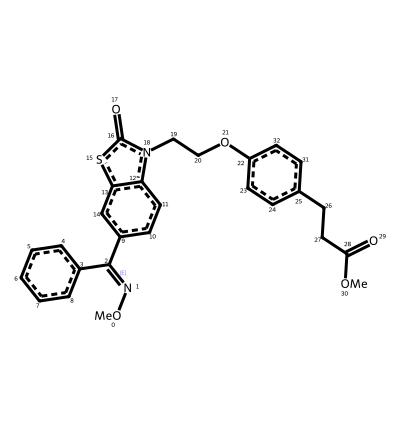 CO/N=C(\c1ccccc1)c1ccc2c(c1)sc(=O)n2CCOc1ccc(CCC(=O)OC)cc1